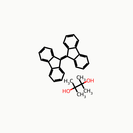 CC(C)(O)C(C)(C)O.c1ccc2c(c1)C(=C1c3ccccc3-c3ccccc31)c1ccccc1-2